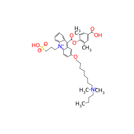 CCCC[N+](C)(C)CCCCCCCCOc1ccc2c(c1)c(C(=O)Oc1c(C)cc(C(=O)O)cc1C)c1ccccc1[n+]2CCCS(=O)(=O)O